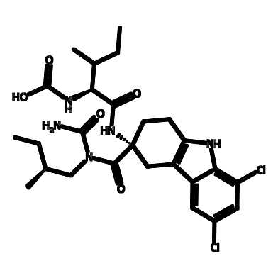 CCC(C)[C@H](NC(=O)O)C(=O)N[C@]1(C(=O)N(C[C@@H](C)CC)C(N)=O)CCc2[nH]c3c(Cl)cc(Cl)cc3c2C1